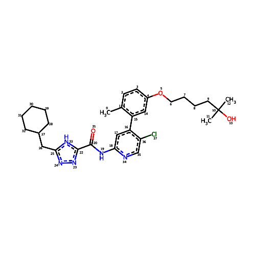 Cc1ccc(OCCCCC(C)(C)O)cc1-c1cc(NC(=O)c2nnc(CC3CCCCC3)[nH]2)ncc1Cl